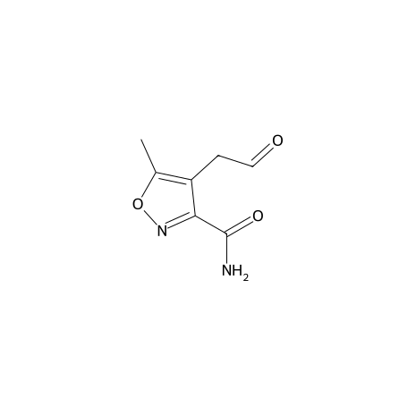 Cc1onc(C(N)=O)c1CC=O